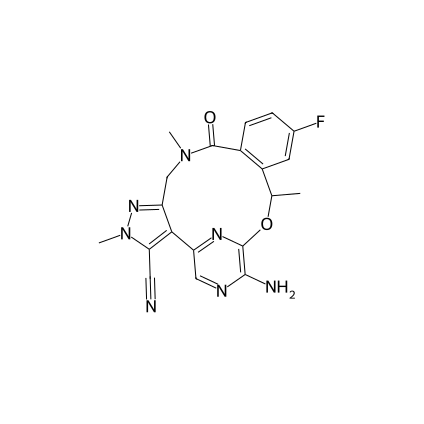 CC1Oc2nc(cnc2N)-c2c(nn(C)c2C#N)CN(C)C(=O)c2ccc(F)cc21